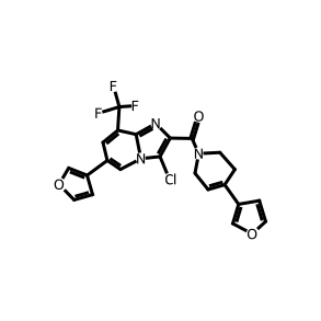 O=C(c1nc2c(C(F)(F)F)cc(-c3ccoc3)cn2c1Cl)N1CC=C(c2ccoc2)CC1